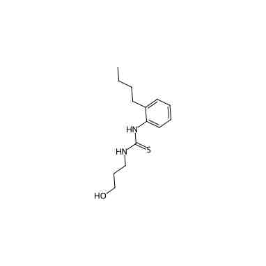 CCCCc1ccccc1NC(=S)NCCCO